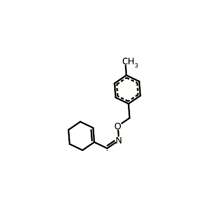 Cc1ccc(CO/N=[C]\C2=CCCCC2)cc1